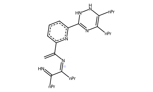 C=C(/N=C(/CCC)C(=N)CCC)c1cccc(C2=NC(CCC)=C(CCC)NN2)n1